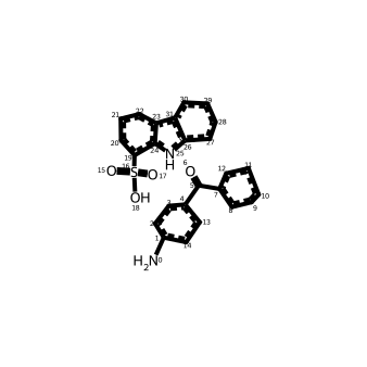 Nc1ccc(C(=O)c2ccccc2)cc1.O=S(=O)(O)c1cccc2c1[nH]c1ccccc12